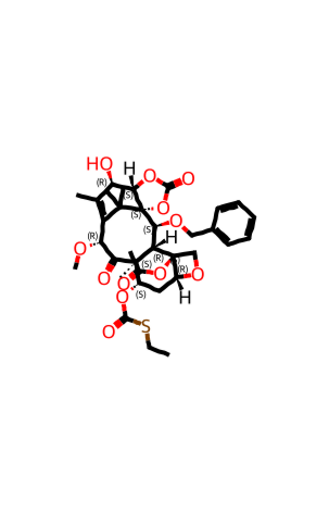 CCSC(=O)O[C@H]1C[C@H]2OC[C@@]2(OC(C)=O)[C@H]2[C@H](OCc3ccccc3)[C@]34OC(=O)O[C@H]3[C@H](O)C(C)=C([C@@H](OC)C(=O)[C@]12C)C4(C)C